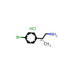 C[C@@H](CN)c1ccc(Br)cc1.Cl